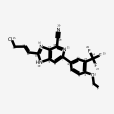 CCOc1ccc(-c2cc3[nH]c(/C=C/CCl)nc3c(C#N)n2)cc1C(F)(F)F